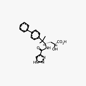 CC(C)(c1ccc(-c2ccccc2)cc1)[C@H](C[C@@H](O)C(=O)O)NC(=O)c1c[nH]nn1